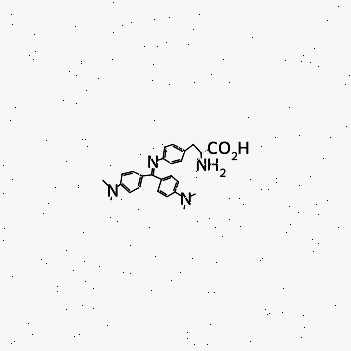 CN(C)c1ccc(C(=Nc2ccc(C[C@@H](N)C(=O)O)cc2)c2ccc(N(C)C)cc2)cc1